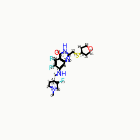 CN1CC[C@H](CNc2cc3nc(CSC4CCOCC4)[nH]c(=O)c3c(F)c2F)[C@@H](F)C1